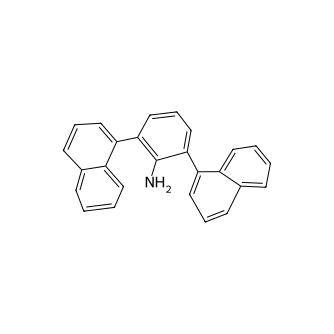 Nc1c(-c2cccc3ccccc23)cccc1-c1cccc2ccccc12